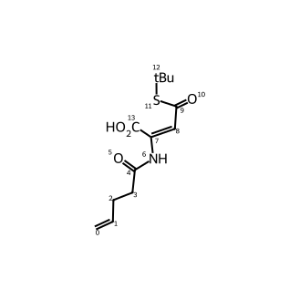 C=CCCC(=O)N/C(=C/C(=O)SC(C)(C)C)C(=O)O